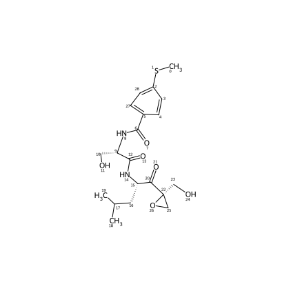 CSc1ccc(C(=O)N[C@@H](CO)C(=O)N[C@@H](CC(C)C)C(=O)[C@@]2(CO)CO2)cc1